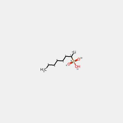 [Li][CH](CCCCCC)S(=O)(=O)O